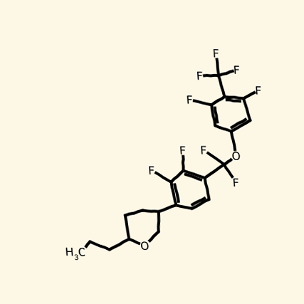 CCCC1CCC(c2ccc(C(F)(F)Oc3cc(F)c(C(F)(F)F)c(F)c3)c(F)c2F)CO1